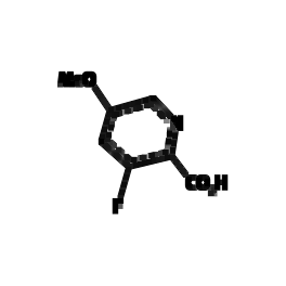 COc1cnc(C(=O)O)c(F)c1